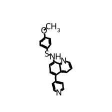 COc1ccc(SNc2ccc(-c3ccncc3)c3cccnc23)cc1